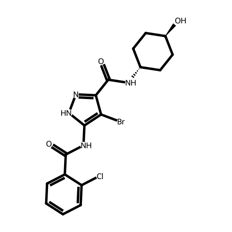 O=C(Nc1[nH]nc(C(=O)N[C@H]2CC[C@H](O)CC2)c1Br)c1ccccc1Cl